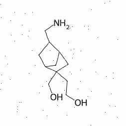 NCC1CC2CC1CC2(CO)CCO